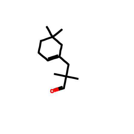 CC(C)(C=O)CC1=CCCC(C)(C)C1